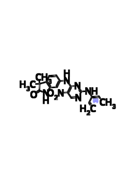 C=C/C(=C\C)Nc1ncc([N+](=O)[O-])c(Nc2ccc3c(c2)NC(=O)C3(C)C)n1